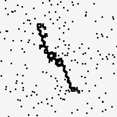 CCCCCCCCCc1ccc(-c2ncc(OCC(F)CCC(F)CCCC)cn2)cc1